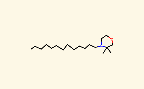 CCCCCCCCCCCCCN1CCOCC1(C)C